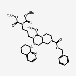 CC(C)(C)OC(=O)N(CCCCN(CC1CN(C(=O)OCc2ccccc2)CCN1C(=O)OC(C)(C)C)[C@H]1CCCc2cccnc21)C(=O)OC(C)(C)C